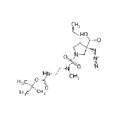 C=CC[C@H]1CN(S(=O)(=O)N(C)CCNC(=O)OC(C)(C)C)C[C@@]1(N=[N+]=[N-])C(=O)O